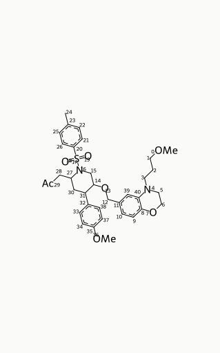 COCCCN1CCOc2ccc(COC3CN(S(=O)(=O)c4ccc(C)cc4)C(CC(C)=O)CC3c3ccc(OC)cc3)cc21